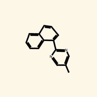 Cc1cnc(-c2cccc3ccccc23)nc1